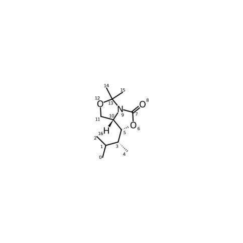 CC(C)[C@@H](C)[C@H]1OC(=O)N2[C@H]1COC2(C)C